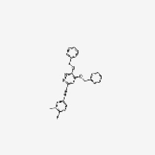 Cc1cc(C#Cc2cc(OCc3ccccc3)c(OCc3ccccc3)nn2)ccc1F